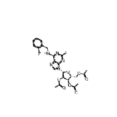 CC(=O)OC[C@H]1O[C@@H](n2cnc3c(NCc4ccccc4F)nc(I)nc32)[C@H](OC(C)=O)[C@@H]1OC(C)=O